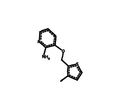 Cc1ccsc1COc1cccnc1N